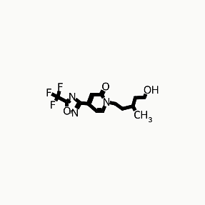 CC(CCO)CCn1ccc(-c2noc(C(F)(F)F)n2)cc1=O